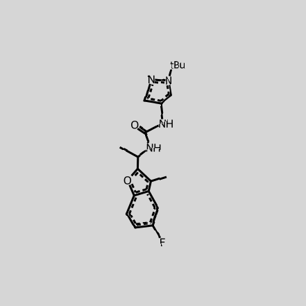 Cc1c(C(C)NC(=O)Nc2cnn(C(C)(C)C)c2)oc2ccc(F)cc12